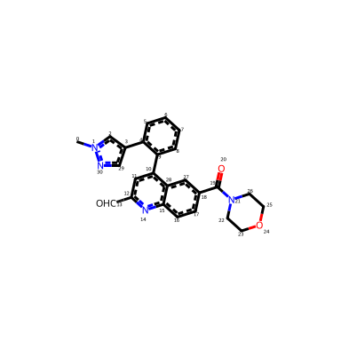 Cn1cc(-c2ccccc2-c2cc(C=O)nc3ccc(C(=O)N4CCOCC4)cc23)cn1